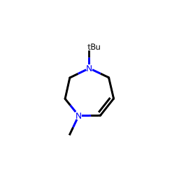 CN1C=CCN(C(C)(C)C)CC1